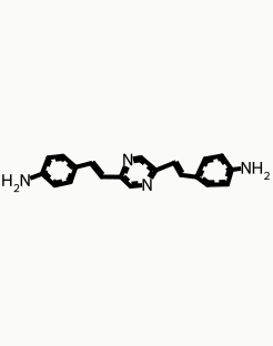 Nc1ccc(/C=C/c2cnc(/C=C/c3ccc(N)cc3)cn2)cc1